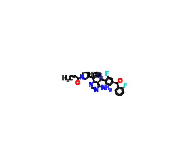 C=CC(=O)N1CCC(C(C)c2ncnc(N)c2/C(=N\C)c2ccc(C(=O)c3ccccc3F)cc2F)C1